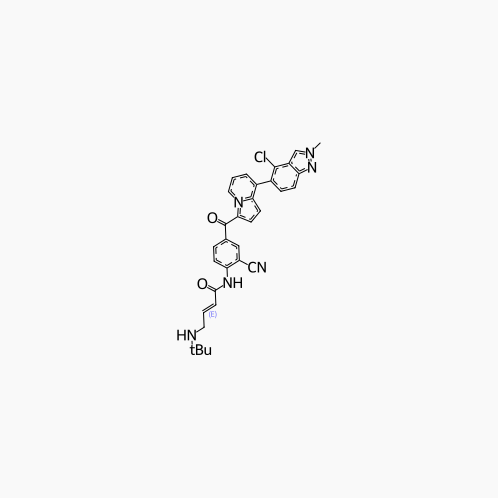 Cn1cc2c(Cl)c(-c3cccn4c(C(=O)c5ccc(NC(=O)/C=C/CNC(C)(C)C)c(C#N)c5)ccc34)ccc2n1